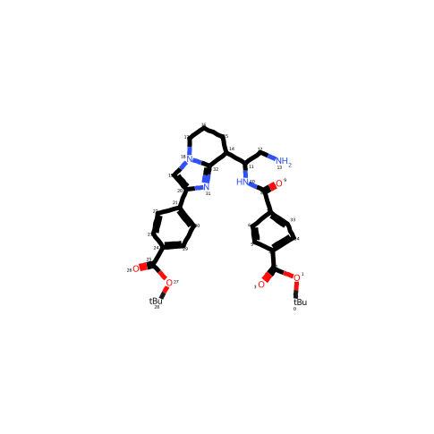 CC(C)(C)OC(=O)c1ccc(C(=O)NC(CN)C2CCCn3cc(-c4ccc(C(=O)OC(C)(C)C)cc4)nc32)cc1